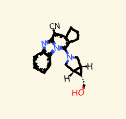 N#Cc1c2c(c(N3C[C@@H]4[C@H](CO)[C@@H]4C3)n3c1nc1ccccc13)CCC2